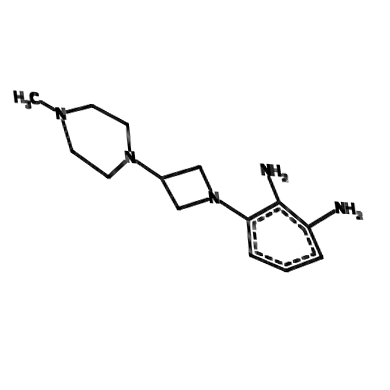 CN1CCN(C2CN(c3cccc(N)c3N)C2)CC1